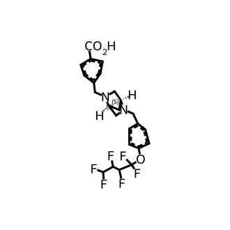 O=C(O)c1ccc(CN2C[C@@H]3C[C@H]2CN3Cc2ccc(OC(F)(F)C(F)C(F)C(F)F)cc2)cc1